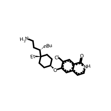 CCCC[C@@H](CCN)[C@]1(CC)CC[C@@H](Oc2cc3cc[nH]c(=O)c3cc2Cl)CC1